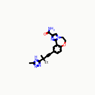 CCC(C)(C#Cc1ccc2c(c1)-c1nc(C(N)=O)cn1CCO2)c1nnc(C)[nH]1